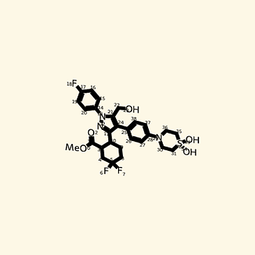 COC(=O)C1CC(F)(F)CCC1c1nn(-c2ccc(F)cc2)c(CO)c1-c1ccc(N2CCS(O)(O)CC2)cc1